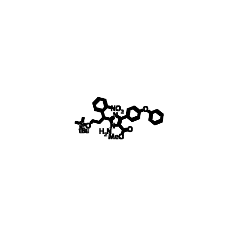 COC(=O)c1c(-c2ccc(Oc3ccccc3)cc2)nc(C(CCO[Si](C)(C)C(C)(C)C)c2ccccc2[N+](=O)[O-])n1N